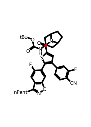 CCCCCc1noc2cc(-c3sc(C(=O)N4C5CCC4CC(NC(=O)OC(C)(C)C)C5)cc3-c3ccc(C#N)c(F)c3)c(F)cc12